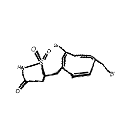 O=C1CC(c2ccc(CBr)cc2Br)S(=O)(=O)N1